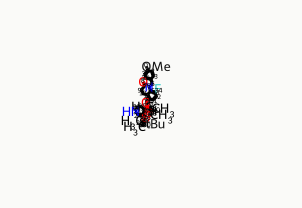 COc1ccc(CN2C(=O)CCc3c(OCC4(O[Si](C)(C)C)CCNCC4O[Si](C)(C)C(C)(C)C)ccc(F)c32)cc1